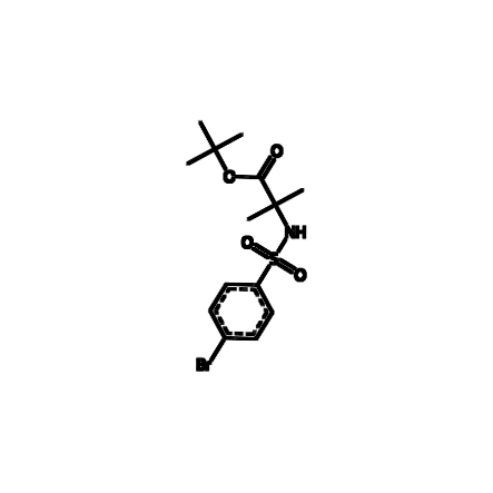 CC(C)(C)OC(=O)C(C)(C)NS(=O)(=O)c1ccc(Br)cc1